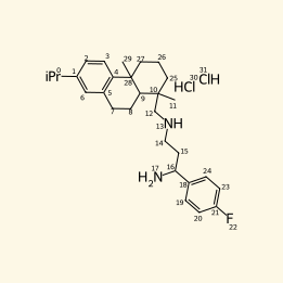 CC(C)c1ccc2c(c1)CCC1C(C)(CNCCC(N)c3ccc(F)cc3)CCCC21C.Cl.Cl